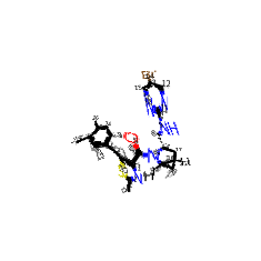 Cc1nc(C(=O)N2[C@H](CNc3ncc(Br)cn3)C[C@@H]3C[C@@H]32)c(-c2ccc(C)c(C)c2)s1